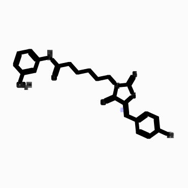 CCc1ccc(/C=C2\SC(=S)N(CCCCCC(=O)Nc3cccc(C(=O)O)c3)C2=O)cc1